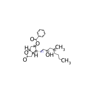 CCCC[C@H](C)C[C@H](O)/C=C/[C@@H]1[C@H]2CC(=O)O[C@H]2C[C@H]1OC(=O)c1ccccc1